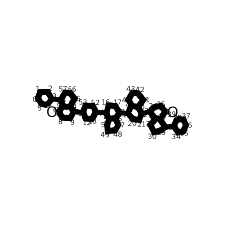 c1ccc2c(c1)Oc1ccc(-c3ccc(-c4ccc(-c5ccc(-c6ccc7c8c(cccc68)-c6ccccc6O7)c6ccccc56)c5ccccc45)cc3)c3cccc-2c13